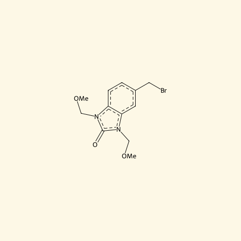 COCn1c(=O)n(COC)c2cc(CBr)ccc21